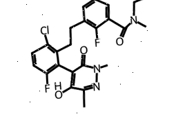 CCN(C)C(=O)c1cccc(CCc2c(Cl)ccc(F)c2-c2c(O)c(C)nn(C)c2=O)c1F